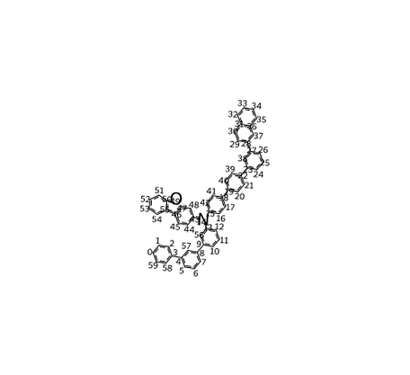 c1ccc(-c2cccc(-c3cccc(N(c4ccc(-c5ccc(-c6cccc(-c7ccc8ccccc8c7)c6)cc5)cc4)c4ccc5c(c4)oc4ccccc45)c3)c2)cc1